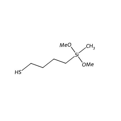 CO[Si](C)(CCCCS)OC